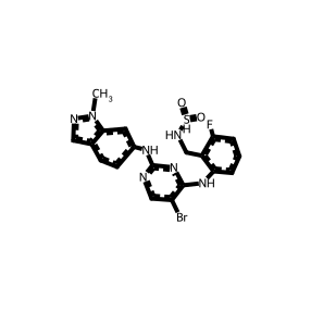 Cn1ncc2ccc(Nc3ncc(Br)c(Nc4cccc(F)c4CN[SH](=O)=O)n3)cc21